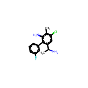 Cc1c(Cl)cc(C(C)N)c(-c2cccc(F)c2)c1N